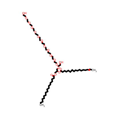 CCCCCCCCCCCCCCCCCC(=O)OCC(COC(CO)OCCOCCOCCOCCOCCOCCOCCOCCOCCOCCOCCO)OC(=O)CCCCCCCCCCCCCCCCC